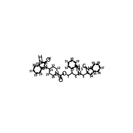 Cn1c(CN(CCCOC(=O)N2CCC(n3c(=O)[nH]c4ccccc43)CC2)Cc2ccccc2)cc2ccccc21